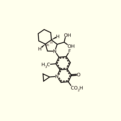 Cc1c(N2C[C@@H]3CCCC[C@@H]3C2C(O)O)c(F)cc2c(=O)c(C(=O)O)cn(C3CC3)c12